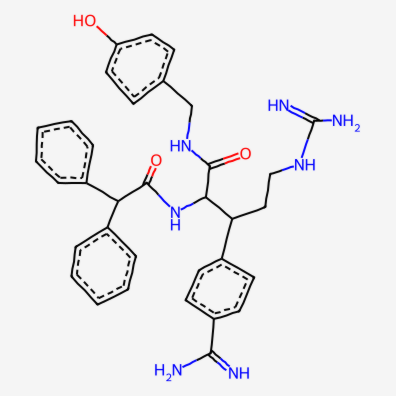 N=C(N)NCCC(c1ccc(C(=N)N)cc1)C(NC(=O)C(c1ccccc1)c1ccccc1)C(=O)NCc1ccc(O)cc1